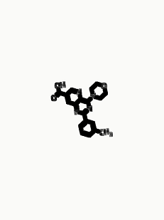 Cc1cccc(-c2nc(N3CCOCC3)c3ncc(C(=O)O)cc3n2)c1